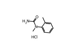 Cc1ccccc1N(C)C(N)=O.Cl